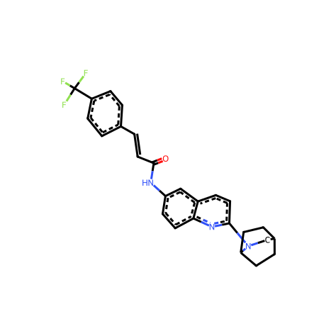 O=C(C=Cc1ccc(C(F)(F)F)cc1)Nc1ccc2nc(N3CC4CCC3CC4)ccc2c1